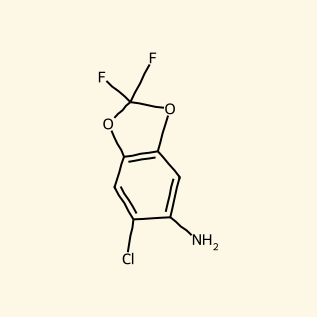 Nc1cc2c(cc1Cl)OC(F)(F)O2